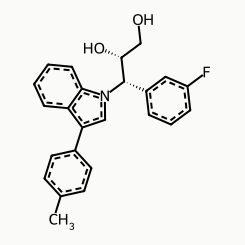 Cc1ccc(-c2cn([C@@H](c3cccc(F)c3)[C@H](O)CO)c3ccccc23)cc1